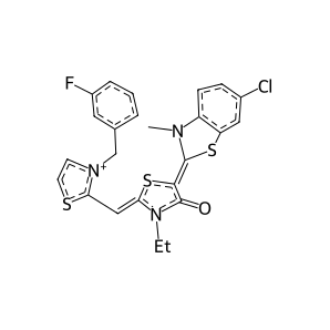 CCn1c(=O)/c(=C2\Sc3cc(Cl)ccc3N2C)s/c1=C\c1scc[n+]1Cc1cccc(F)c1